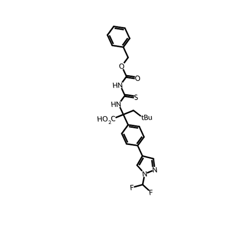 CC(C)(C)CC(NC(=S)NC(=O)OCc1ccccc1)(C(=O)O)c1ccc(-c2cnn(C(F)F)c2)cc1